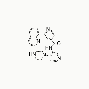 O=C(Nc1cnccc1N1CCNCC1)c1ccnc(-c2cccc3cccnc23)n1